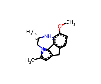 COc1ccc2c(c1)-c1c(cc(C)n1C[C@H](C)N)C2